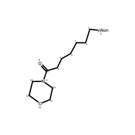 CCCCCCCCCCCCCCCC(=O)N1CCOCC1